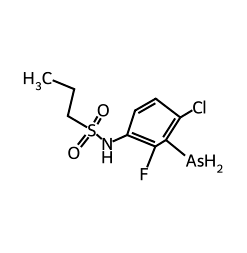 CCCS(=O)(=O)Nc1ccc(Cl)c([AsH2])c1F